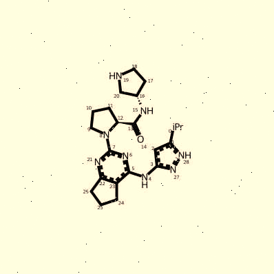 CC(C)c1cc(Nc2nc(N3CCC[C@H]3C(=O)N[C@H]3CCNC3)nc3c2CCC3)n[nH]1